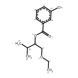 CCOCC(OC(=O)c1cccc(Cl)c1)C(C)C